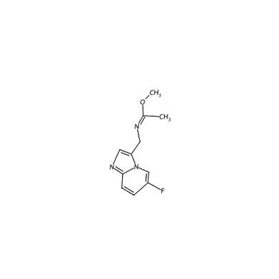 CO/C(C)=N/Cc1cnc2ccc(F)cn12